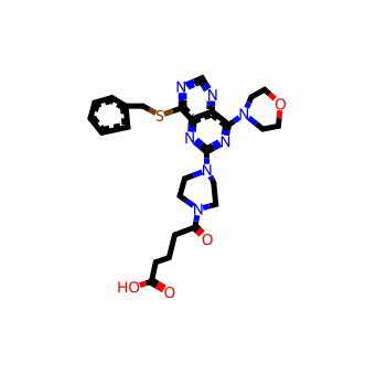 O=C(O)CCCC(=O)N1CCN(c2nc(N3CCOCC3)c3ncnc(SCc4ccccc4)c3n2)CC1